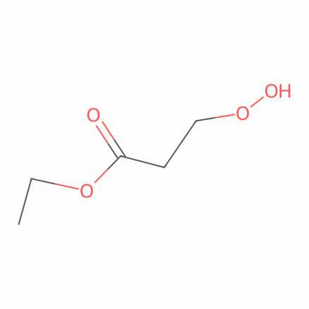 CCOC(=O)CCOO